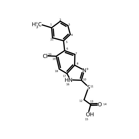 Cc1cccc(-c2cc3nc(SCC(=O)O)[nH]c3cc2Cl)c1